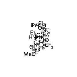 CCC(=O)NCCN1C(=O)[C@](C)(COC)Oc2cc(C(F)(F)F)c(C(=O)N(C(C)C)[C@@H]3CCCN(C(=O)OC(Cl)C(C)C)C3)cc21